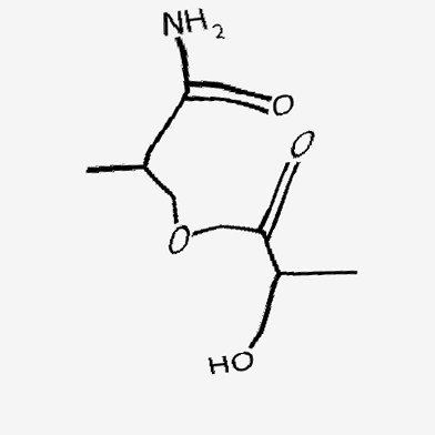 CC(O)C(=O)OC(C)C(N)=O